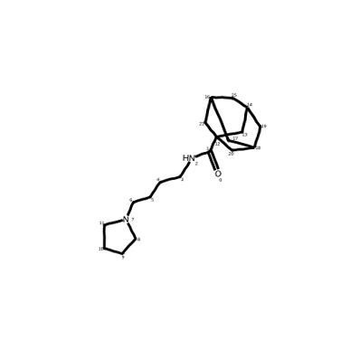 O=C(NCCCCN1C[CH]CC1)C12CC3CC(CC(C3)C1)C2